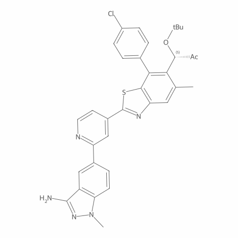 CC(=O)[C@@H](OC(C)(C)C)c1c(C)cc2nc(-c3ccnc(-c4ccc5c(c4)c(N)nn5C)c3)sc2c1-c1ccc(Cl)cc1